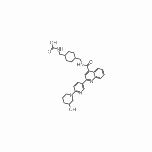 O=C(O)NCC1CCC(CNC(=O)c2cc(-c3ccc(N4CCCC(O)C4)nc3)nc3ccccc23)CC1